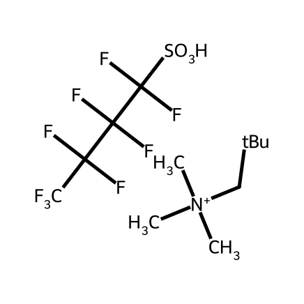 CC(C)(C)C[N+](C)(C)C.O=S(=O)(O)C(F)(F)C(F)(F)C(F)(F)C(F)(F)F